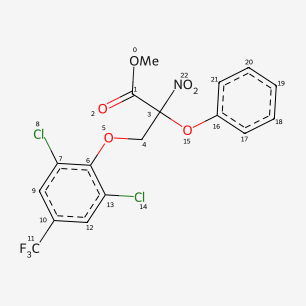 COC(=O)C(COc1c(Cl)cc(C(F)(F)F)cc1Cl)(Oc1ccccc1)[N+](=O)[O-]